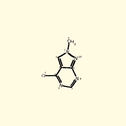 Cn1cc2c(Cl)ncnc2n1